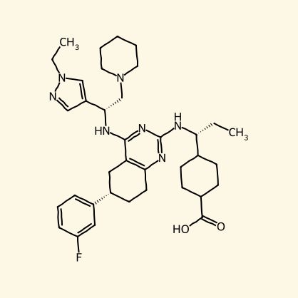 CC[C@@H](Nc1nc2c(c(N[C@@H](CN3CCCCC3)c3cnn(CC)c3)n1)C[C@@H](c1cccc(F)c1)CC2)C1CCC(C(=O)O)CC1